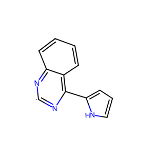 [c]1nc(-c2ccc[nH]2)c2ccccc2n1